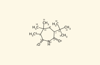 CC1C(=O)NC(=O)C(C(C)(C)C)CC1(C)C